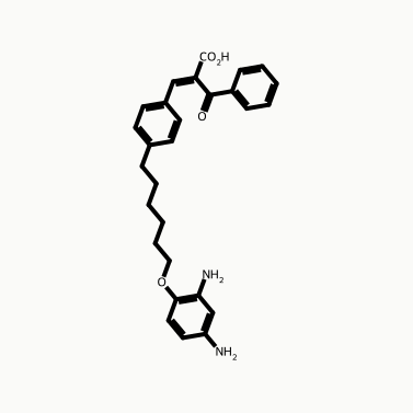 Nc1ccc(OCCCCCCc2ccc(C=C(C(=O)O)C(=O)c3ccccc3)cc2)c(N)c1